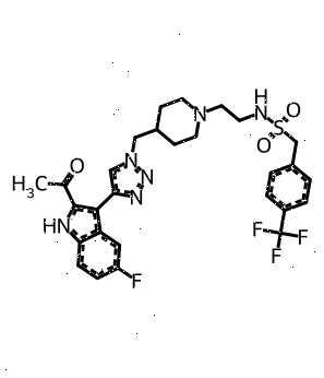 CC(=O)c1[nH]c2ccc(F)cc2c1-c1cn(CC2CCN(CCNS(=O)(=O)Cc3ccc(C(F)(F)F)cc3)CC2)nn1